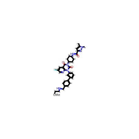 COCCNCc1ccc(-c2cccc(-n3c(=O)n(C4CCC(NC(=O)c5cc(C)n(C)n5)CC4)c(=O)c4cc(F)cnc43)c2)cc1